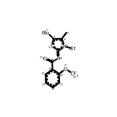 CCn1c(C)c(C(C)(C)C)s/c1=N\C(=O)c1ccccc1OC(F)(F)F